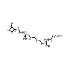 CSCCNC(=N)CCCCCCC(=N)NCSC1CCC1C